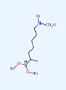 CCO[SiH](OCC)C(C)CCCCCN(CC)C(=O)O